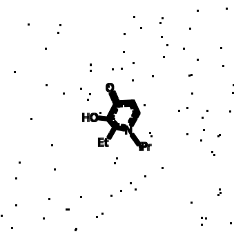 CCc1c(O)c(=O)ccn1C(C)C